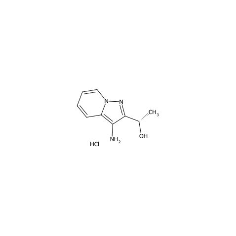 C[C@H](O)c1nn2ccccc2c1N.Cl